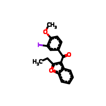 CCc1oc2ccccc2c1C(=O)c1ccc(OC)c(I)c1